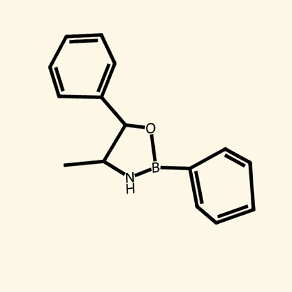 CC1NB(c2ccccc2)OC1c1ccccc1